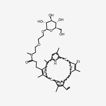 C=Cc1c(C)c2cc3nc(c(C)c4cc(C)c(cc5nc(cc1[nH]2)C(C)=C5CC)[nH]4)C(CCC(=O)N(C)CCOCCO[C@@H]1O[C@H](CO)[C@@H](O)[C@H](O)[C@H]1O)=C3C